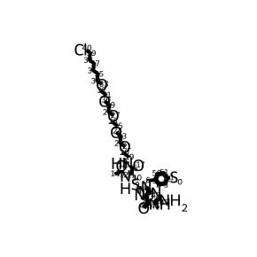 CSc1ccc(Cn2c(SC[C@H](NC(C)=O)C(=O)NCCOCCOCCOCCOCCOCCCCCCCl)nc3c(=O)[nH]c(N)nc32)cc1